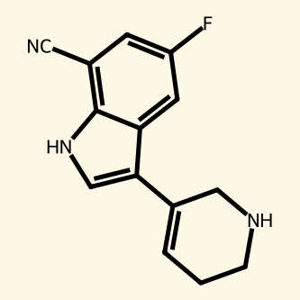 N#Cc1cc(F)cc2c(C3=CCCNC3)c[nH]c12